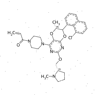 C=CC(=O)N1CCN(c2nc(OC[C@@H]3CCCN3C)nc3c2O[C@H](C)C(c2cccc4cccc(Cl)c24)O3)CC1